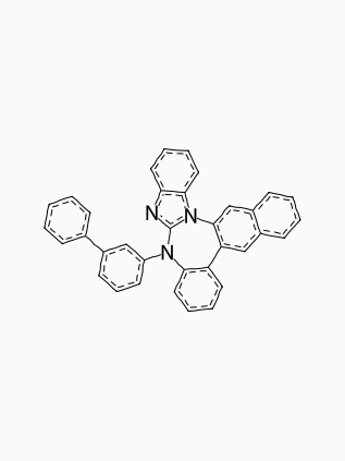 c1ccc(-c2cccc(N3c4ccccc4-c4cc5ccccc5cc4-n4c3nc3ccccc34)c2)cc1